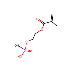 C=C(C)C(=O)OCCOP(=O)(O)N=O